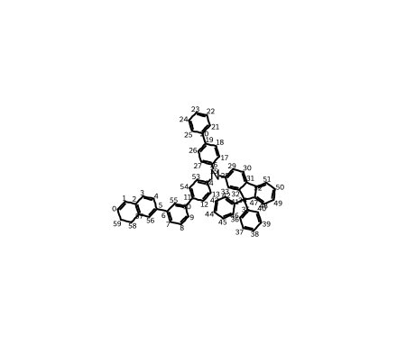 C1=Cc2ccc(-c3cccc(-c4ccc(N(c5ccc(-c6ccccc6)cc5)c5ccc6c(c5)C(c5ccccc5)(c5ccccc5)c5ccccc5-6)cc4)c3)cc2CC1